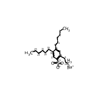 CCCCCCc1cc(CCC)c(S(=O)(=O)[O-])cc1CCCCCC.[Na+]